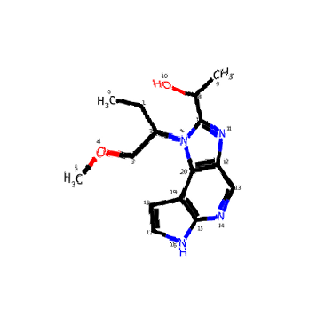 CCC(COC)n1c(C(C)O)nc2cnc3[nH]ccc3c21